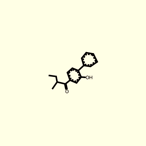 CCC(C)C(=O)c1ccc(-c2ccccc2)c(O)c1